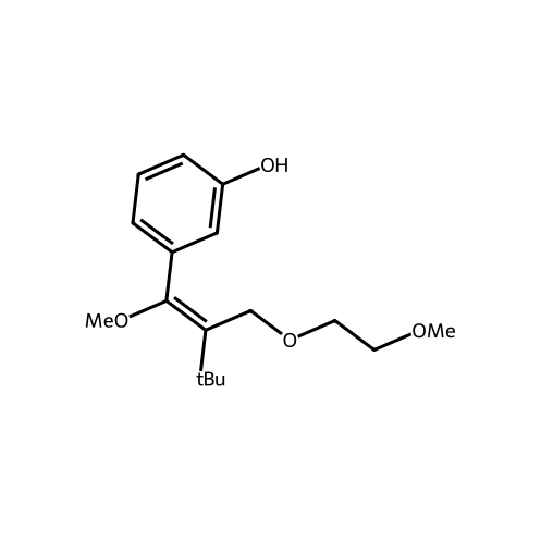 COCCOC/C(=C(/OC)c1cccc(O)c1)C(C)(C)C